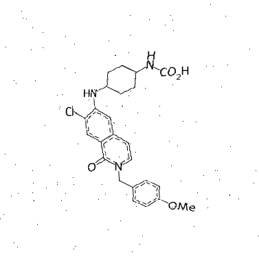 COc1ccc(Cn2ccc3cc(NC4CCC(NC(=O)O)CC4)c(Cl)cc3c2=O)cc1